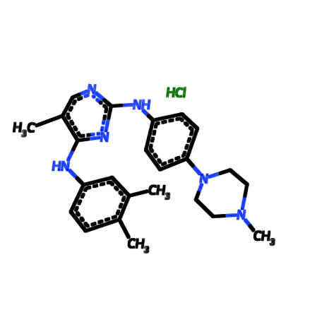 Cc1ccc(Nc2nc(Nc3ccc(N4CCN(C)CC4)cc3)ncc2C)cc1C.Cl